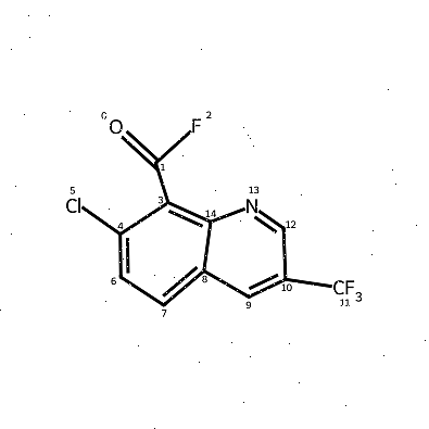 O=C(F)c1c(Cl)ccc2cc(C(F)(F)F)cnc12